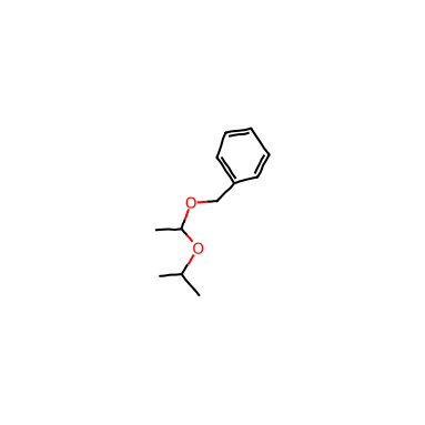 CC(C)OC(C)OCc1ccccc1